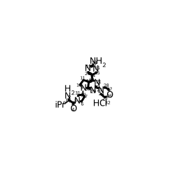 CC(C)[C@@H](N)C(=O)N1CC[C@H](N2CCc3c(-c4cnc(N)nc4)nc(N4CCOCC4)nc32)C1.Cl